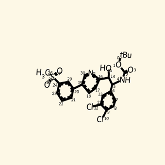 CC(C)(C)OC(=O)NC(c1ccc(Cl)c(Cl)c1)C(O)c1ccc(-c2cccc(S(C)(=O)=O)c2)cn1